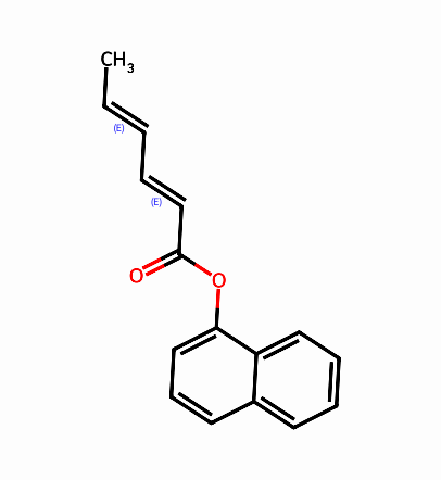 C/C=C/C=C/C(=O)Oc1cccc2ccccc12